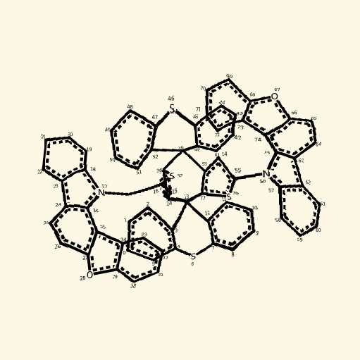 c1ccc2c(c1)Sc1ccccc1C21c2cc(-n3c4ccccc4c4ccc5oc6ccccc6c5c43)sc2C2(c3ccccc3Sc3ccccc32)c2cc(-n3c4ccccc4c4ccc5oc6ccccc6c5c43)sc21